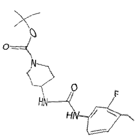 Cc1ccc(NC(=O)NC2CCN(C(=O)OC(C)(C)C)CC2)cc1F